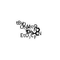 CCOC(=O)[C@H](CN1CC[C@H](CNC(=O)OC(C)(C)C)C1)c1c(F)cnc2ccc(OC)nc12